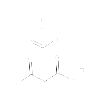 O=C([O-])CC(=O)[O-].O=C[O-].[Tl+].[Tl+].[Tl+]